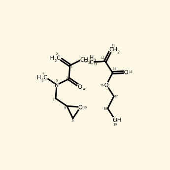 C=C(C)C(=O)N(C)CC1CO1.C=C(C)C(=O)OCCO